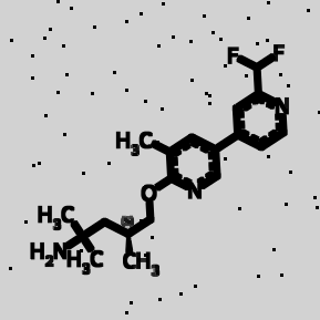 Cc1cc(-c2ccnc(C(F)F)c2)cnc1OC[C@@H](C)CC(C)(C)N